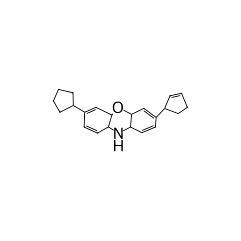 C1=CC(C2=CC3OC4C=C(C5CCCC5)C=CC4NC3C=C2)CC1